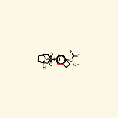 O=S(=O)(c1ccc(OC(F)F)cc1)N1[C@@H]2CC[C@H]1C[C@@H](NC[C@H]1C[C@@H](O)C1)C2